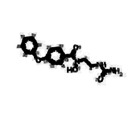 NC(=O)NCCN(O)C(=O)c1ccc(Oc2ccccc2)cc1